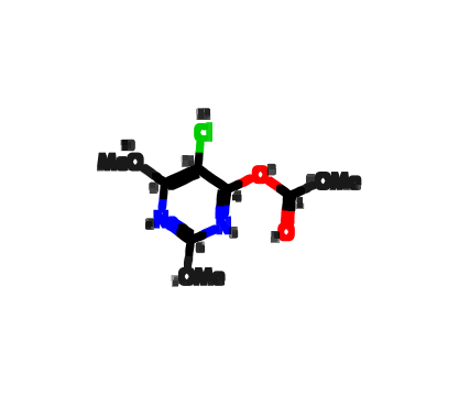 COC(=O)Oc1nc(OC)nc(OC)c1Cl